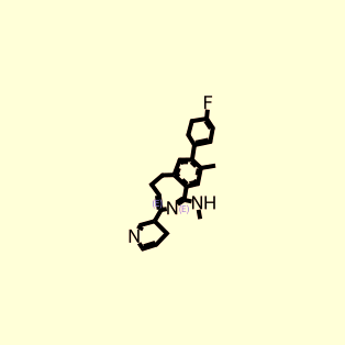 CN/C1=N/C(C2C=NC=CC2)=C/CCc2cc(C3=CC=C(F)CC3)c(C)cc21